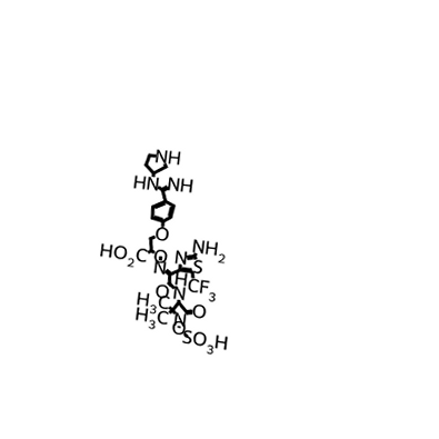 CC1(C)C(NC(=O)C(=NOC(COc2ccc(C(=N)NC3CCNC3)cc2)C(=O)O)c2nc(N)sc2C(F)(F)F)C(=O)N1OS(=O)(=O)O